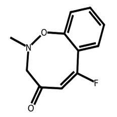 CN1CC(=O)C=C(F)c2ccccc2O1